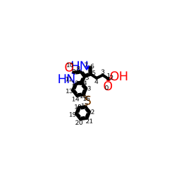 O=C(O)CCc1c[nH]c2c(=O)[nH]c3ccc(Sc4ccccc4)cc3c12